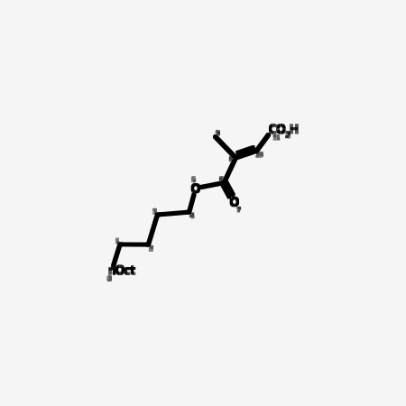 CCCCCCCCCCCCOC(=O)/C(C)=C/C(=O)O